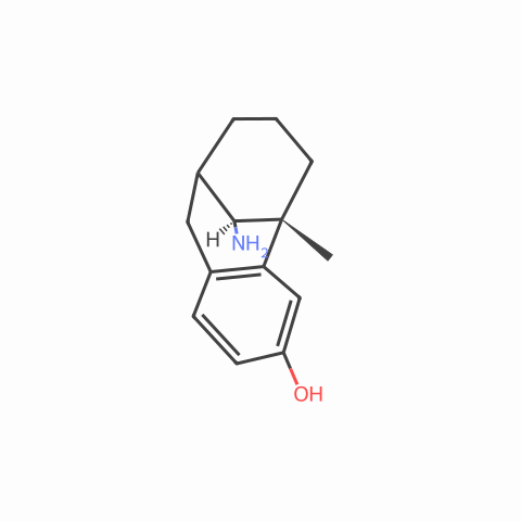 C[C@@]12CCCC(Cc3ccc(O)cc31)[C@@H]2N